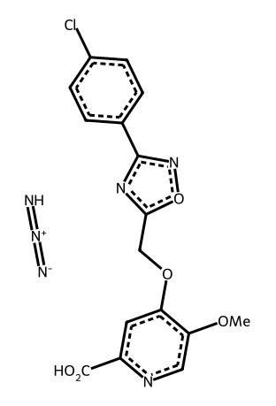 COc1cnc(C(=O)O)cc1OCc1nc(-c2ccc(Cl)cc2)no1.[N-]=[N+]=N